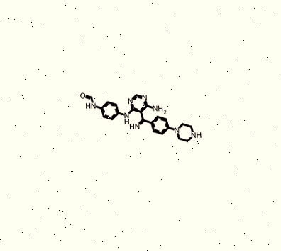 N=C(c1ccc(N2CCNCC2)cc1)c1c(N)ncnc1Nc1ccc(NC=O)cc1